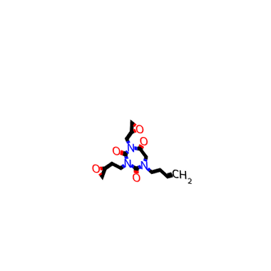 C=CCCN1CC(=O)N(CC2CO2)C(=O)N(CCC2CO2)C1=O